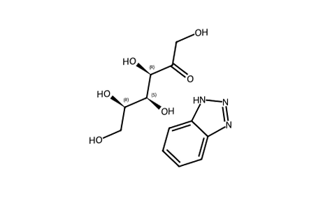 O=C(CO)[C@H](O)[C@@H](O)[C@H](O)CO.c1ccc2[nH]nnc2c1